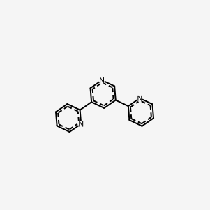 c1ccc(-c2cncc(-c3ccccn3)c2)nc1